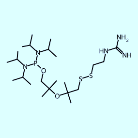 CC(C)N(C(C)C)P(OCC(C)(C)OC(C)(C)CSSCCNC(=N)N)N(C(C)C)C(C)C